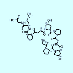 CSCC[C@H](NC(=O)[C@@H]1CCCN1C(=O)CNC(=O)[C@@H]1C[C@@H](O)CN1C(=O)[C@@H]1CCCN1C(=O)CNC(=O)[C@@H]1C[C@@H](O)CN1C(=O)[C@@H]1CCCN1C(=O)CN)C(=O)NCC(=O)O